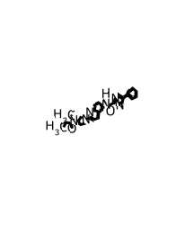 CCC(=O)N(C)C1CCN(c2ccc3cc(NC(=O)c4ncc(-c5ccccc5)cn4)ccc3n2)C1